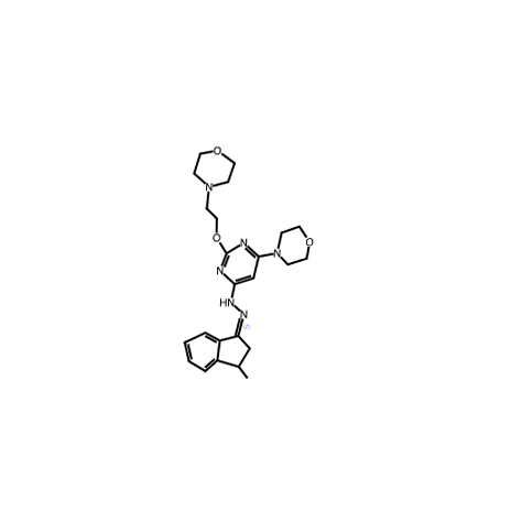 CC1C/C(=N/Nc2cc(N3CCOCC3)nc(OCCN3CCOCC3)n2)c2ccccc21